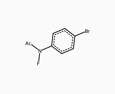 CC(=O)N(F)c1ccc(Br)cc1